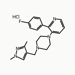 Cc1nn(C)cc1CN1CCN(c2cccnc2-c2ccc(F)cc2)CC1.Cl